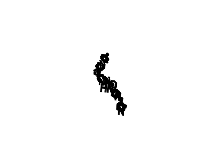 Cc1ccc(N2CCC(Oc3ccn4cc(C(=O)NC5CCN(Cc6ccncc6)CC5)nc4c3)CC2)cc1